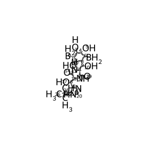 Bc1c(O)c(O)c(B)c(/C(O)=c2\[nH]c(=O)/c(=C(\O)c3nc[nH]c3C(C)(C)C)[nH]c2=O)c1O